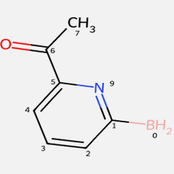 Bc1cccc(C(C)=O)n1